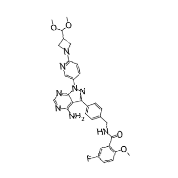 COc1ccc(F)cc1C(=O)NCc1ccc(-c2nn(-c3ccc(N4CC(C(OC)OC)C4)nc3)c3ncnc(N)c23)cc1